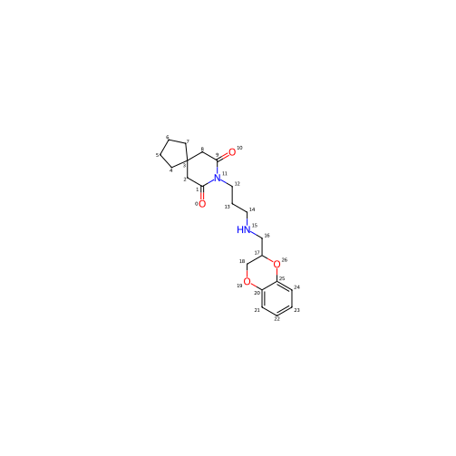 O=C1CC2(CCCC2)CC(=O)N1CCCNCC1COc2ccccc2O1